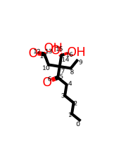 CCCCCC(=O)C(CC)(CC(=O)O)C(=O)O